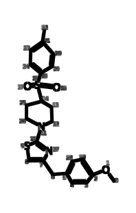 COc1ccc(Cc2csc(N3CCC(S(=O)(=O)c4ccc(C)cc4)CC3)n2)cc1